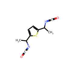 CC(N=C=O)c1ccc(C(C)N=C=O)s1